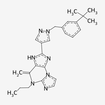 C=C1c2[nH]c(-c3cnn(Cc4cccc(C(C)(C)C)c4)c3)nc2-n2ccnc2N1CCC